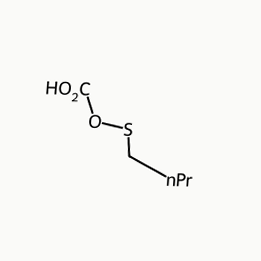 CCCCSOC(=O)O